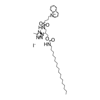 CCCCCCCCCCCCCCCCCCNC(=O)OCC(CNS(=O)(=O)CCC[n+]1cccc2ccccc21)n1nnc(C)n1.[I-]